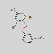 CCc1cc(C)cc(Br)c1OCc1cccc(OC)c1